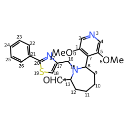 COc1cncc(OC)c1C1CCCCC(C=O)N1Cc1csc(-c2ccccc2)n1